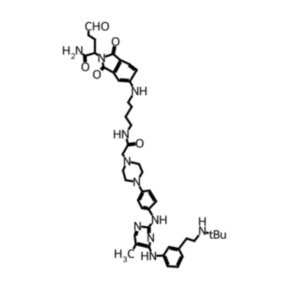 Cc1cnc(Nc2ccc(N3CCN(CC(=O)NCCCCNc4ccc5c(c4)C(=O)N(C(CCC=O)C(N)=O)C5=O)CC3)cc2)nc1Nc1cccc(CCNC(C)(C)C)c1